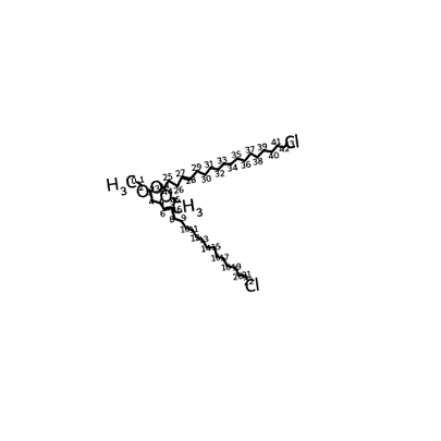 CCOC(CCC=CCCCCCCCCCCCCCCCl)OC(CCC=CCCCCCCCCCCCCCCCl)OCC